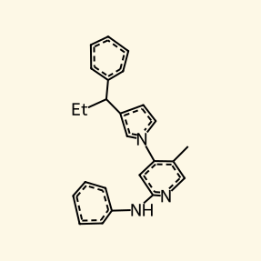 CCC(c1ccccc1)c1ccn(-c2cc(Nc3ccccc3)ncc2C)c1